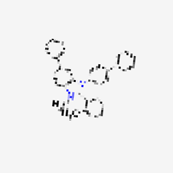 Cc1ccccc1-c1n(-c2ccc(-c3ccccc3)cc2)c2cc(-c3ccccc3)ccc2[n+]1C